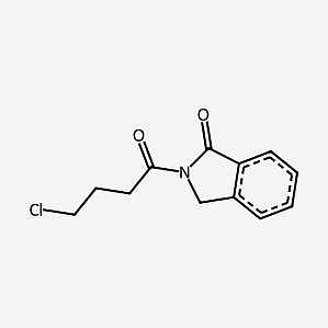 O=C(CCCCl)N1Cc2ccccc2C1=O